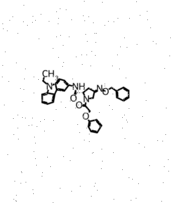 CCn1c2ccccc2c2cc(NC(=O)[C@@H]3CC(=NOCc4ccccc4)CN3C(=O)COc3ccccc3)ccc21